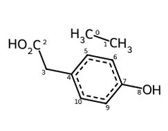 CC.O=C(O)Cc1ccc(O)cc1